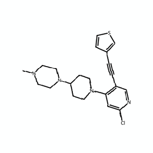 CN1CCN(C2CCN(c3cc(Cl)ncc3C#Cc3ccsc3)CC2)CC1